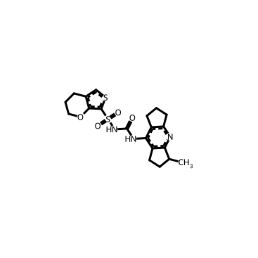 CC1CCc2c1nc1c(c2NC(=O)NS(=O)(=O)c2scc3c2OCCC3)CCC1